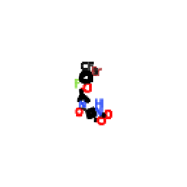 O=C1N[C@]2(CO1)C[C@@H](C(=O)N1CC(COc3cc(Br)c(C(F)(F)F)cc3F)C1)C2